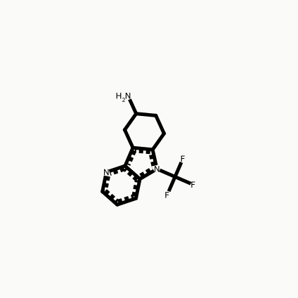 NC1CCc2c(c3ncccc3n2C(F)(F)F)C1